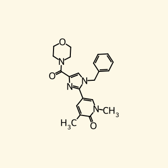 Cc1cc(-c2nc(C(=O)N3CCOCC3)cn2Cc2ccccc2)cn(C)c1=O